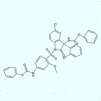 COc1cc(NC(=O)Oc2ccccc2)ccc1S(=O)(=O)N1C(=O)C(NC(=O)Oc2ccccc2)(c2ccccc2Cl)c2cc(Cl)ccc21